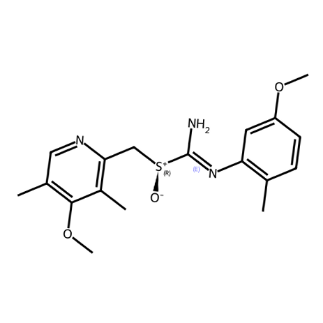 COc1ccc(C)c(/N=C(\N)[S@@+]([O-])Cc2ncc(C)c(OC)c2C)c1